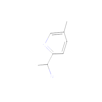 Cc1ccc(C(N)C(C)C)nc1